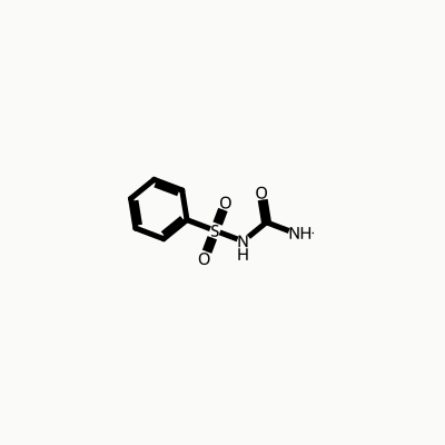 [NH]C(=O)NS(=O)(=O)c1ccccc1